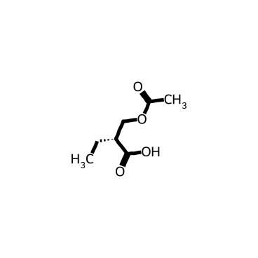 CC[C@H](COC(C)=O)C(=O)O